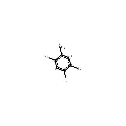 Nc1nc(I)c(F)cc1F